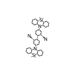 C[Si]1(C)c2ccccc2N(c2ccc(-c3ccc(N4c5ccccc5[Si](C)(C)c5ccccc54)cc3C#N)c(C#N)c2)c2ccccc21